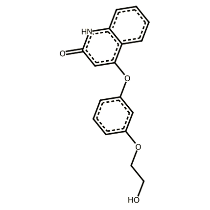 O=c1cc(Oc2cccc(OCCO)c2)c2ccccc2[nH]1